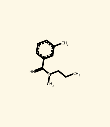 CCCN(C)C(=N)c1cccc(C)c1